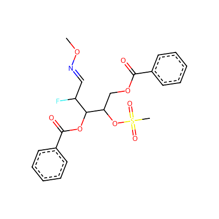 CON=CC(F)C(OC(=O)c1ccccc1)C(COC(=O)c1ccccc1)OS(C)(=O)=O